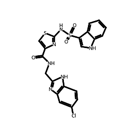 O=C(NCc1nc2cc(Cl)ccc2[nH]1)c1csc(NS(=O)(=O)c2c[nH]c3ccccc23)n1